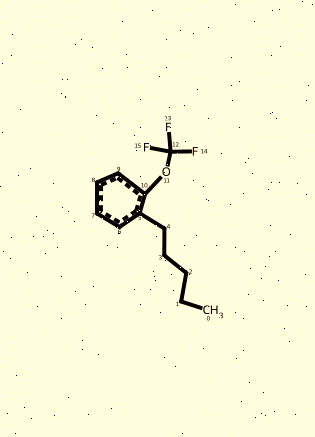 CC[CH]CCc1ccccc1OC(F)(F)F